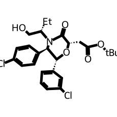 CC[C@@H](CO)N1C(=O)[C@H](CC(=O)OC(C)(C)C)O[C@H](c2cccc(Cl)c2)[C@H]1c1ccc(Cl)cc1